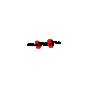 CCCCC[C@H]1OC[C@H](CCCC[C@H]2OC[C@H](CCCC)CO2)CO1